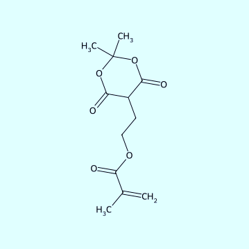 C=C(C)C(=O)OCCC1C(=O)OC(C)(C)OC1=O